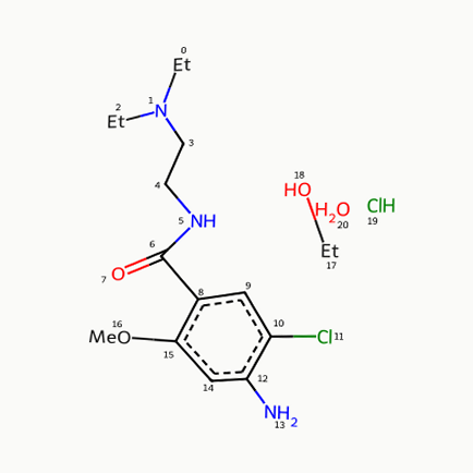 CCN(CC)CCNC(=O)c1cc(Cl)c(N)cc1OC.CCO.Cl.O